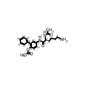 CC(=O)N[C@@H](CCCCN)C(=O)Nc1ccc(OC(=O)O)c(-c2ccccc2)c1